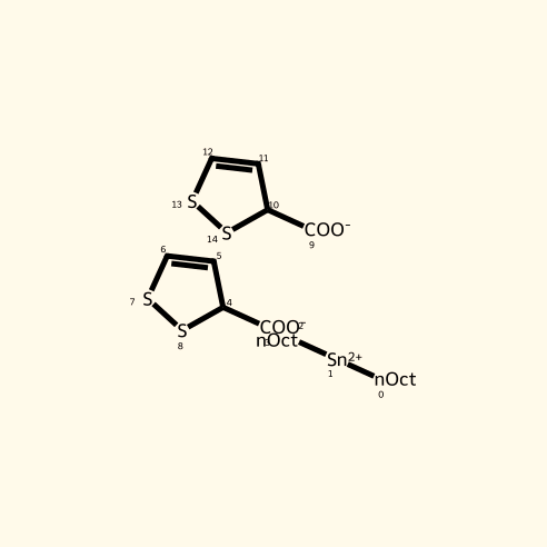 CCCCCCC[CH2][Sn+2][CH2]CCCCCCC.O=C([O-])C1C=CSS1.O=C([O-])C1C=CSS1